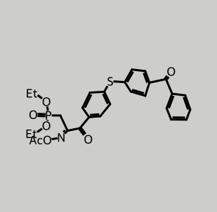 CCOP(=O)(C/C(=N\OC(C)=O)C(=O)c1ccc(Sc2ccc(C(=O)c3ccccc3)cc2)cc1)OCC